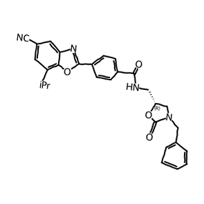 CC(C)c1cc(C#N)cc2nc(-c3ccc(C(=O)NC[C@@H]4CN(Cc5ccccc5)C(=O)O4)cc3)oc12